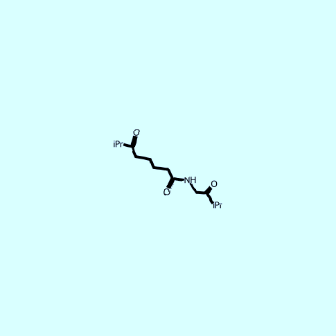 CC(C)C(=O)CCCCC(=O)NCC(=O)C(C)C